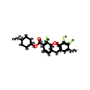 CCCc1cc2c(c(F)c1F)Oc1c(ccc(C(=O)OC3CCC(CCC)CC3)c1F)C2